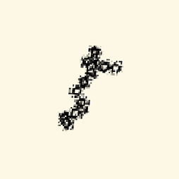 c1ccc(-c2ccc(N(c3ccc(-c4ccc(-c5cccc(-c6ccc7oc8ccc(-c9cccc%10ccccc9%10)cc8c7c6)c5)cc4)cc3)c3cc4ccccc4c4ccccc34)cc2)cc1